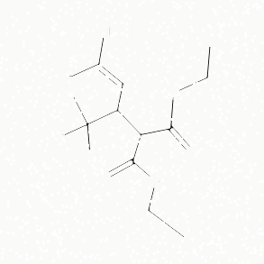 CCOC(=O)C(C(=O)OCC)C(C=C(Cl)Cl)C(C)(C)Cl